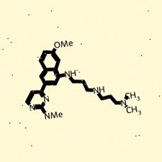 CNc1nccc(-c2cc(NCCCNCCCN(C)C)c3cc(OC)ccc3c2)n1